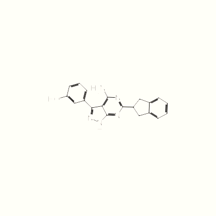 Nc1nc(C2Cc3ccccc3C2)nc2[nH]nc(-c3cccc(O)c3)c12